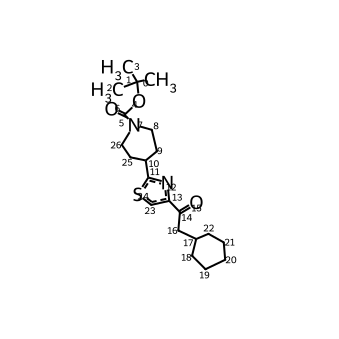 CC(C)(C)OC(=O)N1CCC(c2nc(C(=O)CC3CCCCC3)cs2)CC1